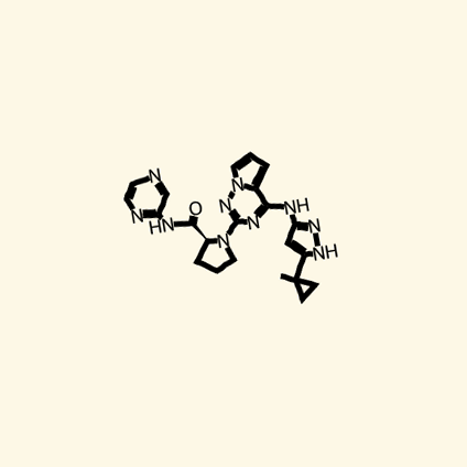 CC1(c2cc(Nc3nc(N4CCC[C@H]4C(=O)Nc4cnccn4)nn4cccc34)n[nH]2)CC1